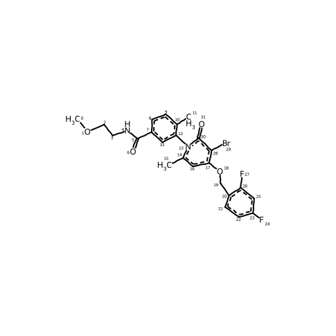 COCCNC(=O)c1ccc(C)c(-n2c(C)cc(OCc3ccc(F)cc3F)c(Br)c2=O)c1